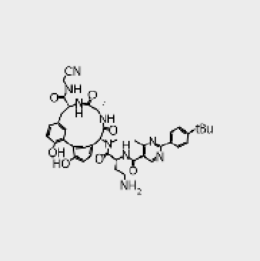 Cc1nc(-c2ccc(C(C)(C)C)cc2)ncc1C(=O)N[C@@H](CCN)C(=O)N(C)[C@@H]1C(=O)N[C@@H](C)C(=O)N[C@H](C(=O)NCC#N)Cc2ccc(O)c(c2)-c2cc1ccc2O